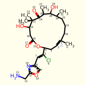 C/C1=C/CC(C(Cl)=Cc2coc(CN)n2)OC(=O)CC(O)C(C)(C)C(=O)C(C)C(O)C(C)CCC1